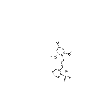 COc1cc(OC)c(C/C=C/c2ccccc2C(F)(F)F)c(OC)c1